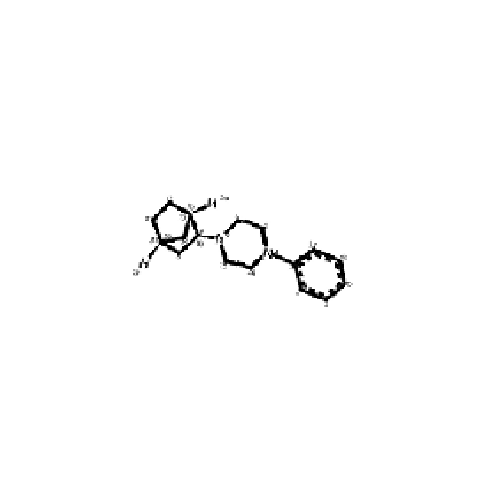 [c]1ccc(N2CCN([C@H]3C[C@@H]4CC[C@H]3C4)CC2)cc1